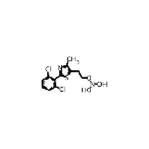 Cc1nc(-c2c(Cl)cccc2Cl)sc1CCON(O)O